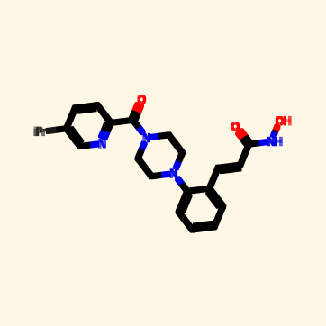 CC(C)c1ccc(C(=O)N2CCN(c3ccccc3C=CC(=O)NO)CC2)nc1